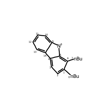 CCCCc1ccc2c(c1CCCC)[N]c1ccccc1-2